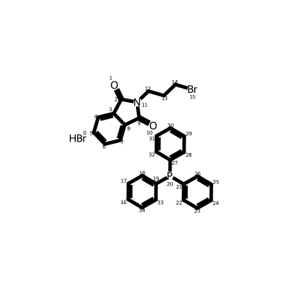 Br.O=C1c2ccccc2C(=O)N1CCCBr.c1ccc(P(c2ccccc2)c2ccccc2)cc1